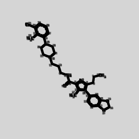 CCCc1nc(C(=O)NCCCN2CCN(c3cccc(Cl)c3C)CC2)c(C)n1-c1ccc2c(c1)OCO2